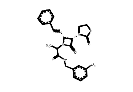 CC(C(=O)NCc1cccc(C(F)(F)F)c1)N1C(=O)[C@@H](N2CCOC2=O)[C@H]1/C=C/c1ccccc1